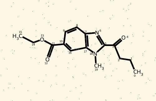 CCCC(=O)c1nc2ccc(C(=O)OCC)cc2n1C